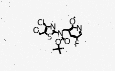 COc1ncc(F)cc1CN(C(=O)OC(C)(C)C)c1nc(Cl)c(C=O)s1